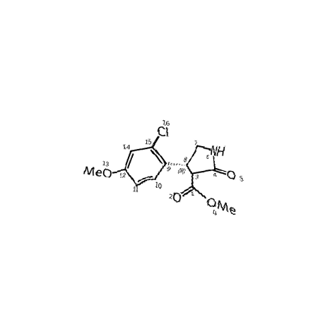 COC(=O)C1C(=O)NC[C@H]1c1ccc(OC)cc1Cl